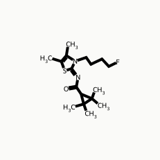 Cc1s/c(=N\C(=O)C2C(C)(C)C2(C)C)n(CCCCF)c1C